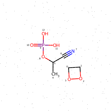 C1COO1.CC(C#N)OP(=O)(O)O